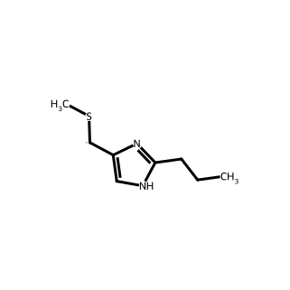 CCCc1nc([CH]SC)c[nH]1